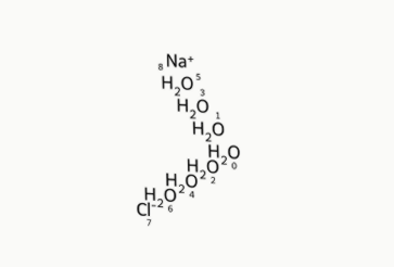 O.O.O.O.O.O.O.[Cl-].[Na+]